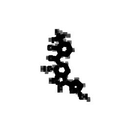 C[C@H]1C2=C(CCN1C(=O)c1cccc(C(F)(F)F)c1Cl)N(c1ccn(C)n1)NN2